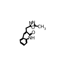 Cc1nnc(Cc2cc3ccccc3[nH]c2=O)o1